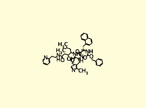 Cc1ncsc1C[C@H](NC(=O)[C@H](Cc1cccc2ccccc12)NC(=O)OCc1ccccc1)C(=O)NC(CC(C)C)C(O)CC(=O)NCCc1ccccn1